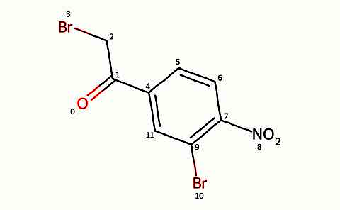 O=C(CBr)c1ccc([N+](=O)[O-])c(Br)c1